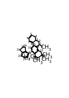 CC1CC2CC=CC=C2c2ccc3c(c21)CC(C)(C)CC3(C)C.c1ccc2c(c1)CCC2